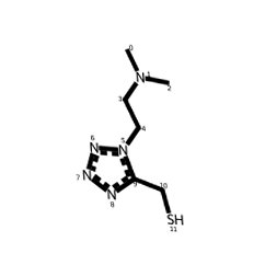 CN(C)CCn1nnnc1CS